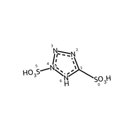 O=S(=O)(O)c1nn[n+](S(=O)(=O)O)[nH]1